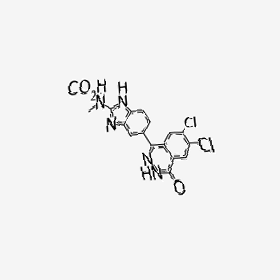 CN(C(=O)O)c1nc2cc(-c3n[nH]c(=O)c4cc(Cl)c(Cl)cc34)ccc2[nH]1